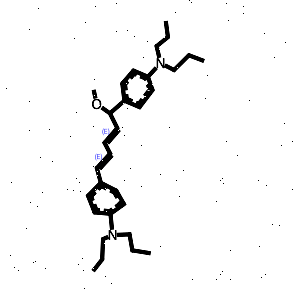 CCCN(CCC)c1ccc(/C=C/C=C/C(OC)c2ccc(N(CCC)CCC)cc2)cc1